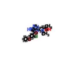 CCN1CC(Nc2ncnc3[nH]cc(C(=O)c4ccc(Oc5ccccc5)cc4Cl)c23)CCC1C(C)O